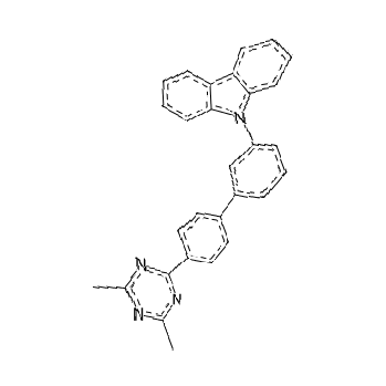 Cc1nc(C)nc(-c2ccc(-c3cccc(-n4c5ccccc5c5ccccc54)c3)cc2)n1